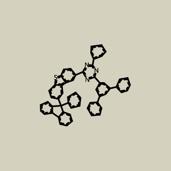 c1ccc(-c2cc(-c3ccccc3)cc(-c3nc(-c4ccccc4)nc(-c4ccc5sc6ccc(C7(c8ccccc8)c8ccccc8-c8ccccc87)cc6c5c4)n3)c2)cc1